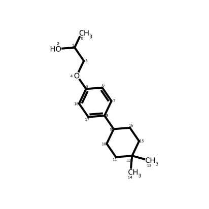 CC(O)COc1ccc(C2CCC(C)(C)CC2)cc1